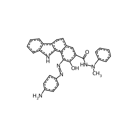 CN(NC(=O)c1cc2ccc3c4ccccc4[nH]c3c2c(N=Nc2ccc(N)cc2)c1O)c1ccccc1